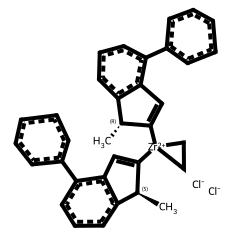 C[C@@H]1[C]([Zr+2]2([C]3=Cc4c(-c5ccccc5)cccc4[C@H]3C)[CH2][CH2]2)=Cc2c(-c3ccccc3)cccc21.[Cl-].[Cl-]